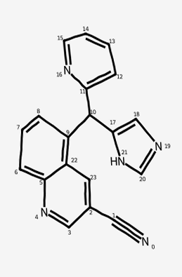 N#Cc1cnc2cccc(C(c3ccccn3)c3cnc[nH]3)c2c1